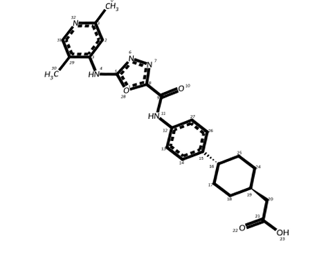 Cc1cc(Nc2nnc(C(=O)Nc3ccc([C@H]4CC[C@H](CC(=O)O)CC4)cc3)o2)c(C)cn1